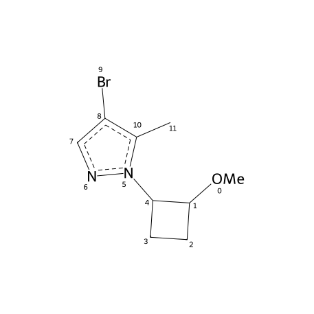 COC1CCC1n1ncc(Br)c1C